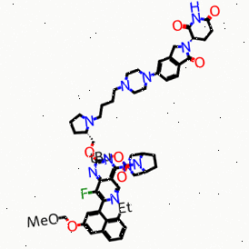 CCc1cccc2cc(OCOC)cc(-c3ncc4c(N5CC6CCC(C5)N6C(=O)OC(C)(C)C)nc(OC[C@@H]5CCCN5CCCCN5CCN(c6ccc7c(c6)CN([C@H]6CCC(=O)NC6=O)C7=O)CC5)nc4c3F)c12